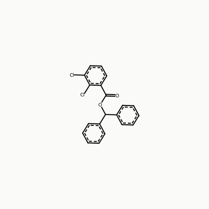 O=C(OC(c1ccccc1)c1ccccc1)c1cccc(Cl)c1Cl